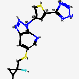 FC1(CSc2cnc3c(c2)nnn3-c2csc(-c3nn[nH]n3)c2)CC1